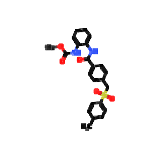 Cc1ccc(S(=O)(=O)Cc2ccc(C(=O)Nc3ccccc3NC(=O)OC(C)(C)C)cc2)cc1